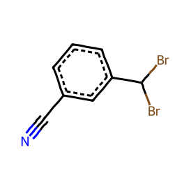 N#Cc1cccc(C(Br)Br)c1